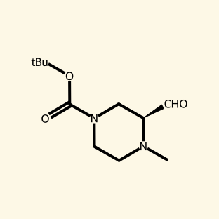 CN1CCN(C(=O)OC(C)(C)C)C[C@H]1C=O